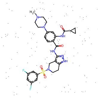 CN1CCN(c2ccc(C(=O)Nc3n[nH]c4c3CN(S(=O)(=O)c3cc(F)cc(F)c3)CC4)c(NC(=O)C3CC3)c2)CC1